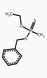 CCOP(C)(=S)SCc1ccccc1